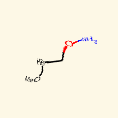 COBCON